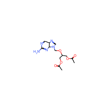 CC(=O)OCC(COC(C)=O)OCN1C=NC2C=NC(N)=NC21